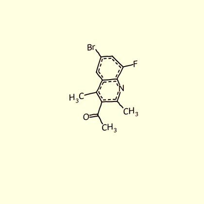 CC(=O)c1c(C)nc2c(F)cc(Br)cc2c1C